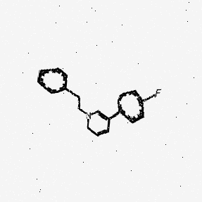 Fc1ccc(C2=CN(CCc3ccccc3)CC=C2)cc1